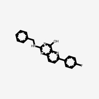 Oc1nc(NCc2ccccc2)nc2ccc(-c3ccc(F)cc3)nc12